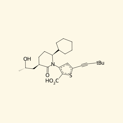 C[C@H](O)C[C@H]1CC[C@@H](C2CCCCC2)N(c2cc(C#CC(C)(C)C)sc2C(=O)O)C1=O